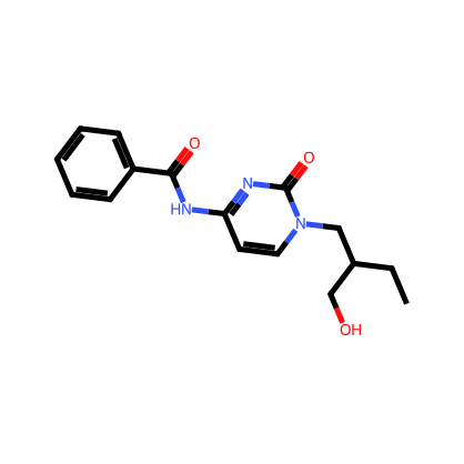 CCC(CO)Cn1ccc(NC(=O)c2ccccc2)nc1=O